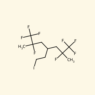 CC(F)(CC(CCI)CC(C)(F)C(F)(F)F)C(F)(F)F